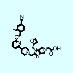 N#Cc1ccc(COc2cccc(C3CCN(Cc4nc5c(n4C[C@@H]4CCO4)CN(CC(=O)O)C5)CC3)n2)c(F)c1